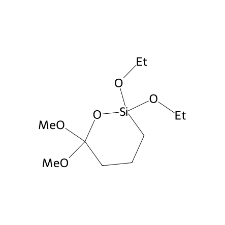 CCO[Si]1(OCC)CCCC(OC)(OC)O1